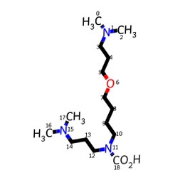 CN(C)CCCOCCCCN(CCCN(C)C)C(=O)O